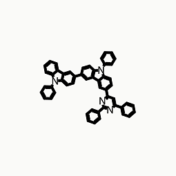 c1ccc(-c2cc(-c3ccc4c(c3)c3cc(-c5ccc6c(c5)c5ccccc5n6-c5ccccc5)ccc3n4-c3ccccc3)nc(-c3ccccc3)n2)cc1